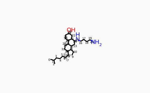 CC(C)CCC[C@@H](C)[C@H]1CCC2C3C[C@@H](NCCCCN)C4C[C@@H](O)CC[C@]4(C)C3CC[C@@]21C